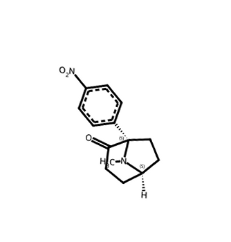 CN1[C@@H]2CCC(=O)[C@@]1(c1ccc([N+](=O)[O-])cc1)CC2